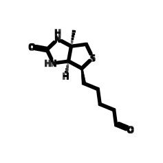 C[C@]12CS[C@@H](CCCCC=O)[C@H]1NC(=O)N2